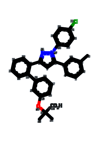 Cc1cccc(-c2cc(-c3ccccc3-c3cccc(OC(C)(C)C(=O)O)c3)nn2-c2ccc(Cl)cc2)c1